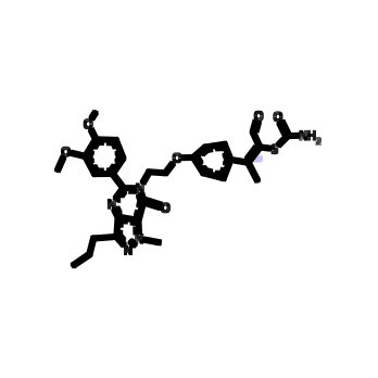 CCCc1nn(C)c2c(=O)n(CCOc3ccc(/C(C)=C(\C=O)SC(N)=O)cc3)c(-c3ccc(OC)c(OC)c3)nc12